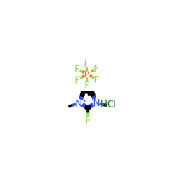 Cl.Cn1cc[n+](C)c1F.F[P-](F)(F)(F)(F)F